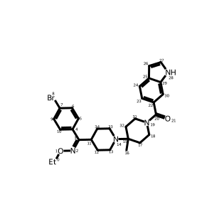 CCO/N=C(\c1ccc(Br)cc1)C1CCN(C2(C)CCN(C(=O)c3ccc4cc[nH]c4c3)CC2)CC1